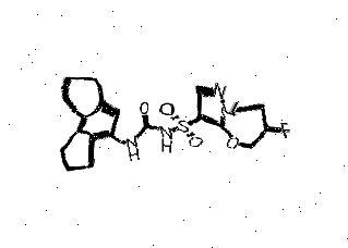 O=C(Nc1cc2c(c3c1CCC3)CCC2)NS(=O)(=O)c1cnn2c1OCC(F)C2